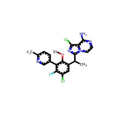 CCOc1c(C(C)c2nc(Cl)c3c(N)nccn23)cc(Cl)c(F)c1-c1ccc(C(F)(F)F)nc1